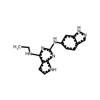 CCNc1nc(Nc2ccc3cn[nH]c3c2)nc2[nH]ccc12